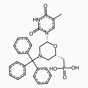 Cc1cn([C@H]2CN(C(c3ccccc3)(c3ccccc3)c3ccccc3)C[C@@H](CP(=O)(O)O)O2)c(=O)[nH]c1=O